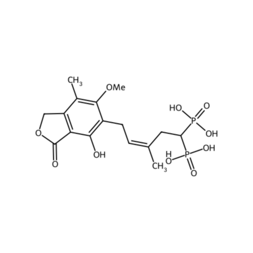 COc1c(C)c2c(c(O)c1CC=C(C)CC(P(=O)(O)O)P(=O)(O)O)C(=O)OC2